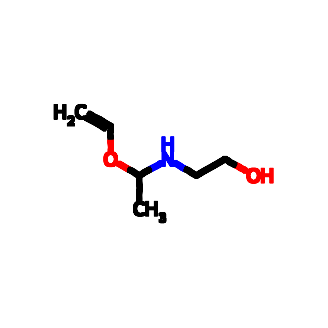 C=COC(C)NCCO